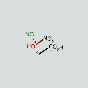 CC(=O)O.Cl.O=[N+]([O-])O